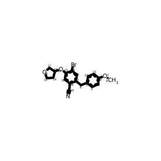 COc1ccc(Cc2cc(Br)c(OC3CCOC3)cc2C#N)cc1